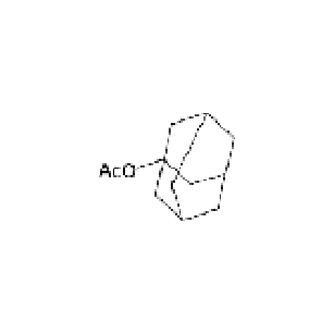 [CH2]C(=O)OC12CC3CC(CC(C3)C1)C2